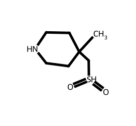 CC1(C[SH](=O)=O)CCNCC1